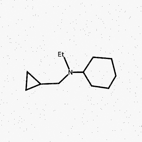 CCN(CC1CC1)C1CCCCC1